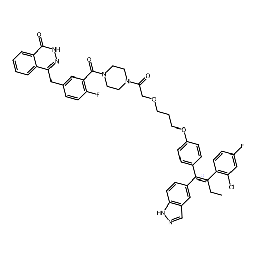 CC/C(=C(/c1ccc(OCCCOCC(=O)N2CCN(C(=O)c3cc(Cc4n[nH]c(=O)c5ccccc45)ccc3F)CC2)cc1)c1ccc2[nH]ncc2c1)c1ccc(F)cc1Cl